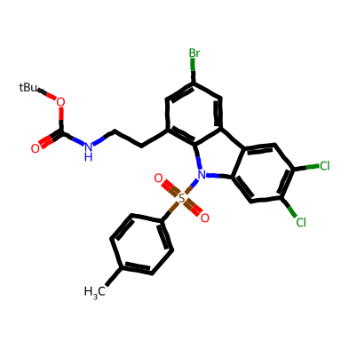 Cc1ccc(S(=O)(=O)n2c3cc(Cl)c(Cl)cc3c3cc(Br)cc(CCNC(=O)OC(C)(C)C)c32)cc1